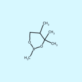 CB1OCC(C)C(C)(C)O1